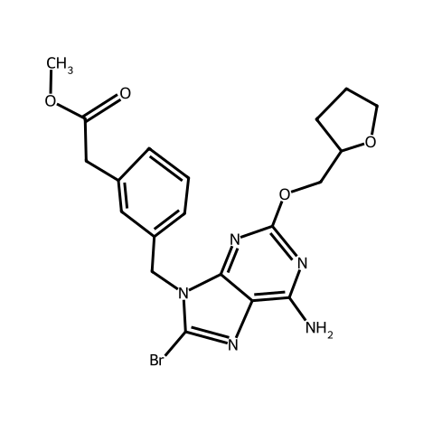 COC(=O)Cc1cccc(Cn2c(Br)nc3c(N)nc(OCC4CCCO4)nc32)c1